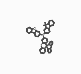 CC1(C)c2ccccc2-c2ccc(N(c3ccc4c(c3)Oc3ccccc3C43c4ccccc4-c4ccccc43)c3ccc4c(c3)oc3ccccc34)cc21